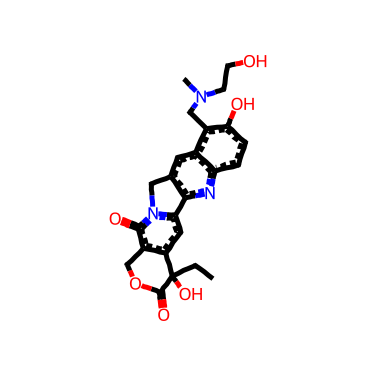 CCC1(O)C(=O)OCc2c1cc1n(c2=O)Cc2cc3c(CN(C)CCO)c(O)ccc3nc2-1